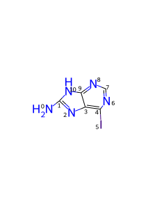 Nc1nc2c(I)ncnc2[nH]1